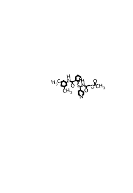 CC(=O)OCC(=O)NC(Sc1ncccc1C(=O)Nc1cc(C)cc(C)c1)c1ccncc1